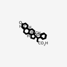 C[C@]12CCC(=O)C=C1CC[C@@H]1[C@@H]2CC[C@@]2(C)[C@H]1CC[C@]2(O)C(CC(=O)O)c1ccccc1